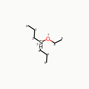 CCC[SiH](CCC)OCC